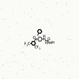 CC(C)NC(=O)CN[C@H]1CCN(C(=O)c2cc(C(F)(F)F)cc(C(F)(F)F)c2)[C@H](Cc2ccccc2)C1